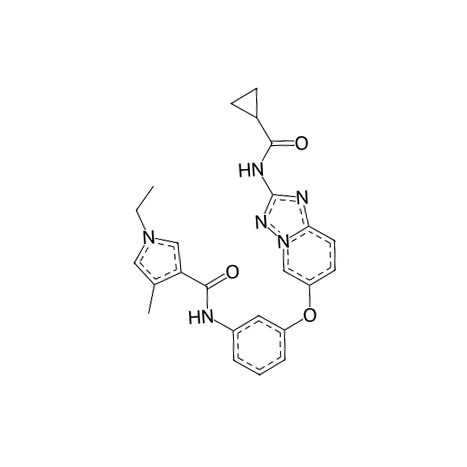 CCn1cc(C)c(C(=O)Nc2cccc(Oc3ccc4nc(NC(=O)C5CC5)nn4c3)c2)c1